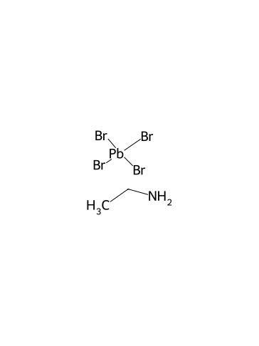 CCN.[Br][Pb]([Br])([Br])[Br]